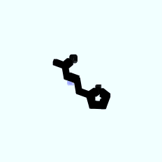 CC(=O)/C=C/Cc1cccs1